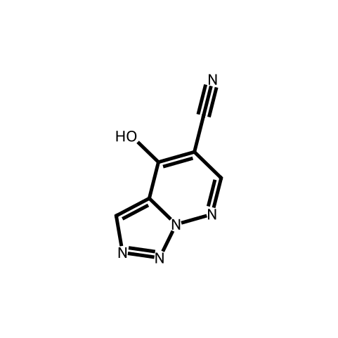 N#Cc1cnn2nncc2c1O